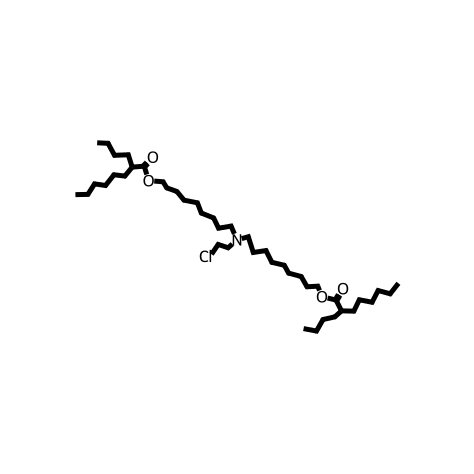 CCCCCCC(CCCC)C(=O)OCCCCCCCCCN(CCCl)CCCCCCCCCOC(=O)C(CCCC)CCCCCC